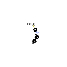 Cc1ccc(-c2cccc(CNc3ccc(SCC(=O)O)cc3)c2)cc1